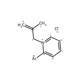 C=C(C)C[n+]1ccccc1C(C)=O.[Cl-]